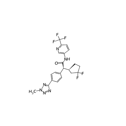 Cn1nnc(-c2ccc([C@@H](C(=O)Nc3ccc(C(F)(F)F)nc3)[C@H]3CCC(F)(F)C3)cc2)n1